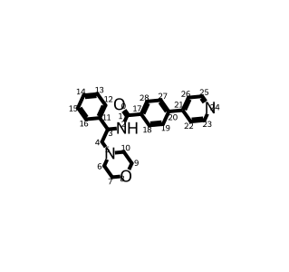 O=C(NC(CN1CCOCC1)c1ccccc1)c1ccc(-c2ccncc2)cc1